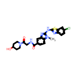 Cn1c(Nc2nc3ccc(Cl)cc3s2)nc2cc(C(=O)NCC(=O)N3CCC(O)CC3)ccc21